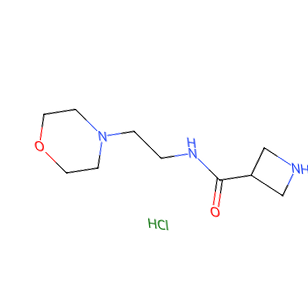 Cl.O=C(NCCN1CCOCC1)C1CNC1